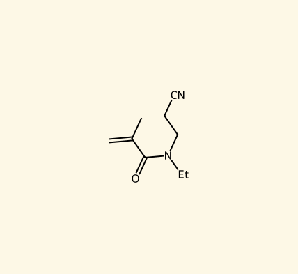 C=C(C)C(=O)N(CC)CCC#N